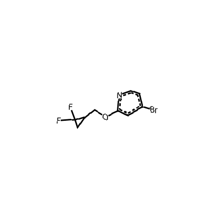 FC1(F)CC1COc1cc(Br)ccn1